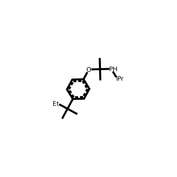 CCC(C)(C)c1ccc(OC(C)(C)PC(C)C)cc1